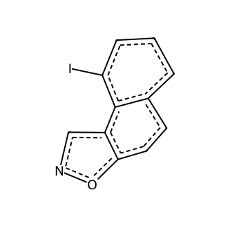 Ic1cccc2ccc3oncc3c12